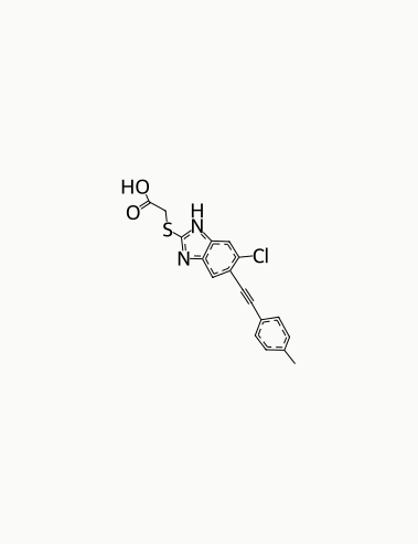 Cc1ccc(C#Cc2cc3nc(SCC(=O)O)[nH]c3cc2Cl)cc1